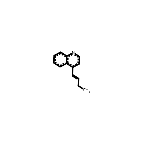 CC/C=C/c1ccnc2ccccc12